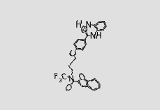 Nc1ccccc1NC(=O)c1ccc(OCCCN(C(=O)c2cc3ccccc3o2)C(F)(F)F)cc1